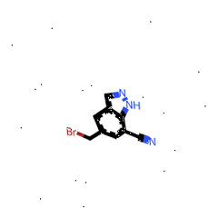 N#Cc1cc(CBr)cc2cn[nH]c12